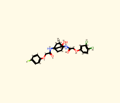 O=C(COc1ccc(F)cc1)NC12CCC(NC(=O)COc3ccc(Cl)c(Cl)c3)(CC1)[C@@H](O)C2